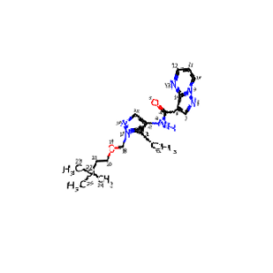 Cc1c(NC(=O)c2cnn3cccnc23)cnn1COCC[Si](C)(C)C